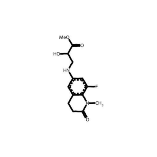 COC(=O)C(O)CNc1cc(F)c2c(c1)CCC(=O)N2C